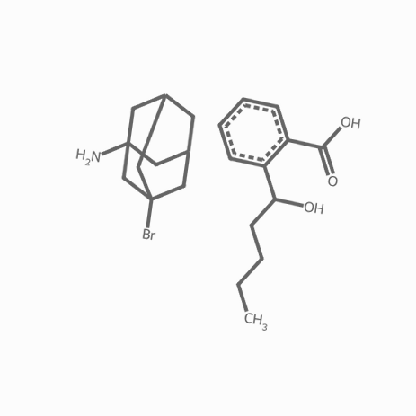 CCCCC(O)c1ccccc1C(=O)O.NC12CC3CC(C1)CC(Br)(C3)C2